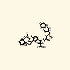 Cc1ccc(C(OCc2cn(CC3CC[N+]4(CCOCC4)CC3)nn2)C(C)(C)C(=O)O)cc1CN1CC(C)Oc2ccccc2S1(O)O